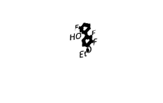 CCOc1ccc(-c2cccc(F)c2O)c(F)c1F